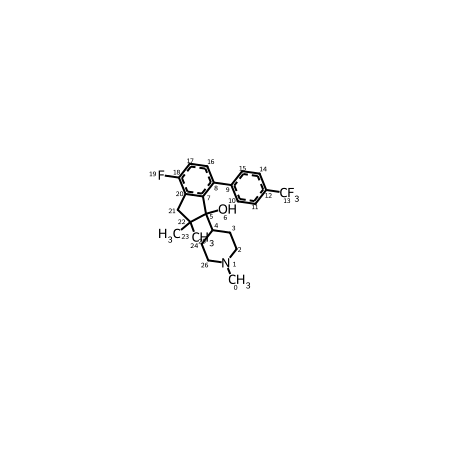 CN1CCC(C2(O)c3c(-c4ccc(C(F)(F)F)cc4)ccc(F)c3CC2(C)C)CC1